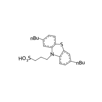 CCCCc1ccc2c(c1)Sc1ccc(CCCC)cc1N2CCCS(=O)(=O)O